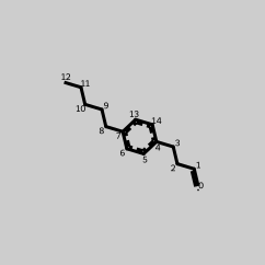 [CH]=CCCc1ccc(CCCCC)cc1